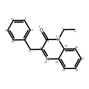 CCn1c(=O)c(Cc2ccccc2)nc2ccccc21